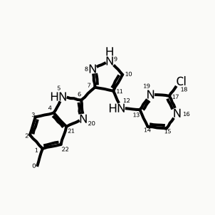 Cc1ccc2[nH]c(-c3n[nH]cc3Nc3ccnc(Cl)n3)nc2c1